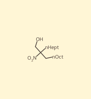 CCCCCCCCCC(CO)(CCCCCCC)[N+](=O)[O-]